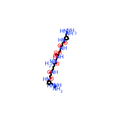 N=C(N)NCC1C=CC=C(NC(=O)CCC(=O)NCCCCC(N)C(=O)NCC(=O)NC(CCCCNC(=O)CCC(=O)NC2=CCCC(CNC(=N)N)C2)C(=O)O)C1